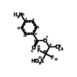 Nc1ccc(C(=O)OC(C(F)(F)F)C(F)(F)S(=O)(=O)O)cc1